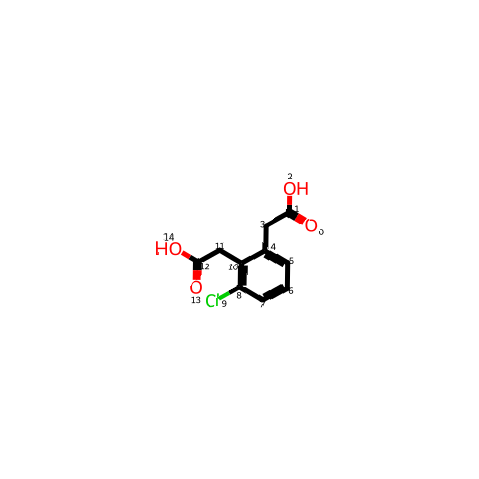 O=C(O)Cc1cccc(Cl)c1CC(=O)O